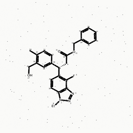 CCn1nnc2c(F)c([C@@H](CC(=O)OCc3ccccc3)c3ccc(C)c(CO)c3)ccc21